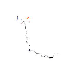 CCCCC/C=C\CCCCC/C=C\CCCCCCCC(O)(C[N+](C)(C)C)P(=O)(O)O